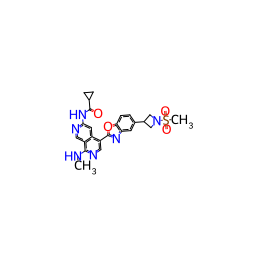 CNc1ncc(-c2nc3cc(C4CN(S(C)(=O)=O)C4)ccc3o2)c2cc(NC(=O)C3CC3)ncc12